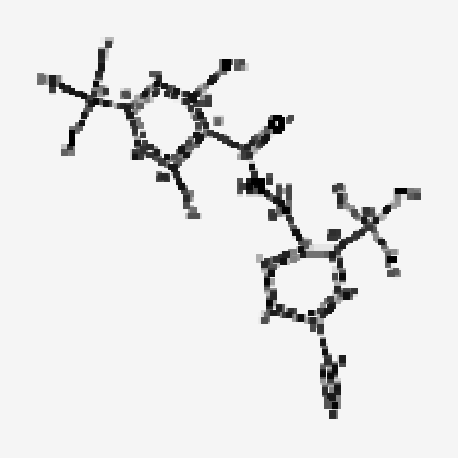 N#Cc1ccc(NNC(=O)c2c(F)cc(C(F)(F)F)cc2F)c(C(F)(F)F)c1